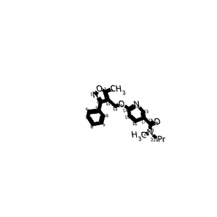 Cc1onc(-c2ccccc2)c1COc1ccc(C(=O)N(C)C(C)C)cn1